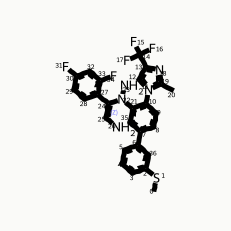 CSc1cccc(-c2ccc(-n3cc(C(F)(F)F)nc3C)c(N(N)/C(=C\N)c3ccc(F)cc3F)c2)c1